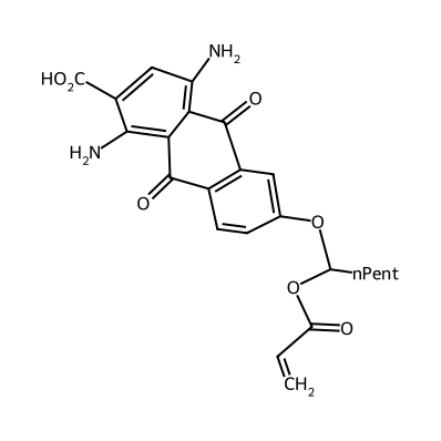 C=CC(=O)OC(CCCCC)Oc1ccc2c(c1)C(=O)c1c(N)cc(C(=O)O)c(N)c1C2=O